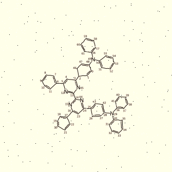 C1=CC(c2cc(-c3ccccc3)nc(-c3nc(-c4ccccc4)cc(-c4ccc(N(c5ccccc5)c5ccccc5)cc4)n3)n2)CC=C1N(c1ccccc1)c1ccccc1